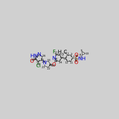 Cc1cc(S(=O)(=O)NC2CC2)ccc1-c1cc(F)nc(O[C@@H]2CCN(c3cn[nH]c(=O)c3Cl)C2)c1